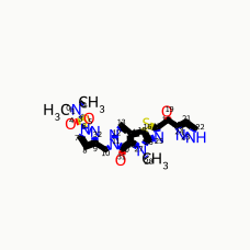 CN(C)S(=O)(=O)n1ccc(Cn2ncc3c4sc(C(=O)c5cc[nH]n5)nc4n(C)c3c2=O)n1